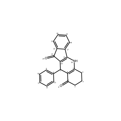 O=C1CCCC2=C1C(c1ccccc1)C1=C(N2)c2ccccc2C1=O